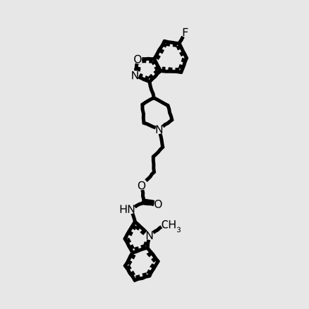 Cn1c(NC(=O)OCCCN2CCC(c3noc4cc(F)ccc34)CC2)cc2ccccc21